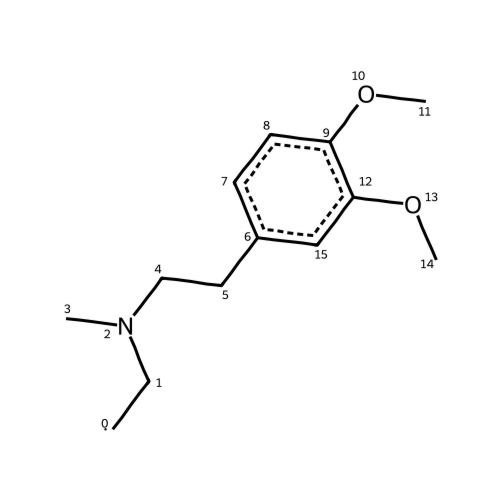 [CH2]CN(C)CCc1ccc(OC)c(OC)c1